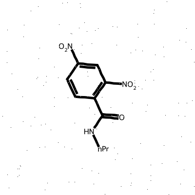 [CH2]CCNC(=O)c1ccc([N+](=O)[O-])cc1[N+](=O)[O-]